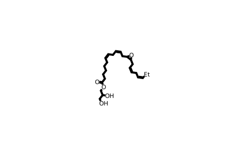 CC/C=C\C/C=C\CC1OC1C/C=C\C/C=C\CCCCCC(=O)OCC(O)CO